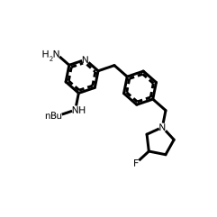 CCCCNc1cc(N)nc(Cc2ccc(CN3CCC(F)C3)cc2)c1